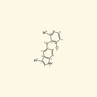 CC(C)c1c[nH]c2ccc(Oc3c(Cl)cccc3Br)cc12